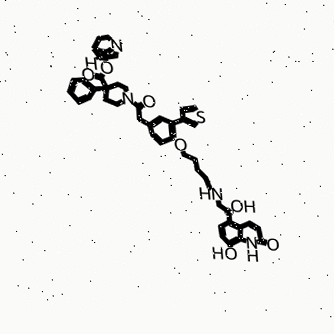 O=C(Cc1ccc(OCCCCCNC[C@H](O)c2ccc(O)c3[nH]c(=O)ccc23)c(-c2ccsc2)c1)N1CCC(C(=O)O[C@H]2CN3CCC2CC3)(c2ccccc2)CC1